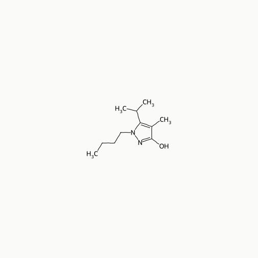 CCCCn1nc(O)c(C)c1C(C)C